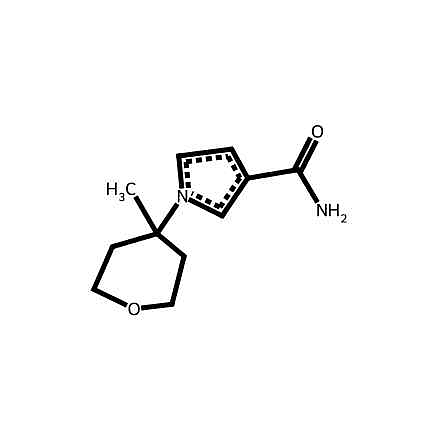 CC1(n2ccc(C(N)=O)c2)CCOCC1